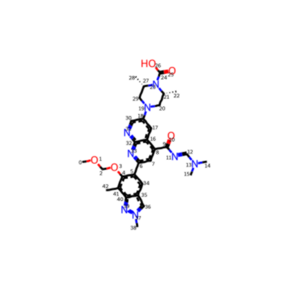 COCOc1c(-c2cc(C(=O)/N=C/N(C)C)c3cc(N4C[C@@H](C)N(C(=O)O)[C@@H](C)C4)cnc3n2)cc2cn(C)nc2c1C